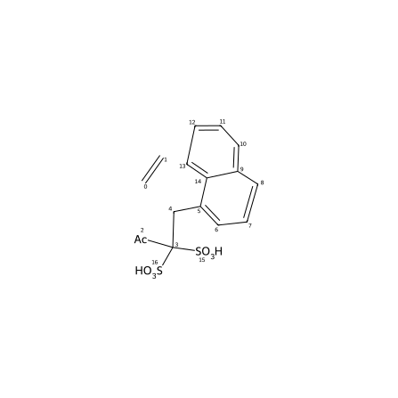 C=C.CC(=O)C(Cc1cccc2ccccc12)(S(=O)(=O)O)S(=O)(=O)O